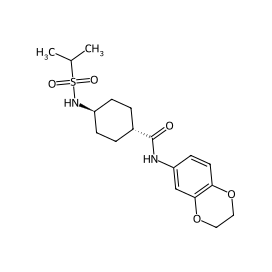 CC(C)S(=O)(=O)N[C@H]1CC[C@H](C(=O)Nc2ccc3c(c2)OCCO3)CC1